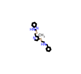 Cc1c(SCCNCc2ccccc2)ccnc1CSc1nc2ccccc2[nH]1